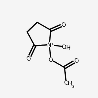 CC(=O)O[N+]1(O)C(=O)CCC1=O